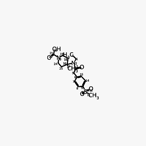 CCN(C(=O)Cc1ccc(S(C)(=O)=O)cc1)C1(C)CCN(C(=O)O)CC1